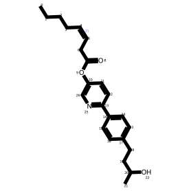 CCCC/C=C\CC(=O)Oc1ccc(-c2ccc(CCC(C)O)cc2)nc1